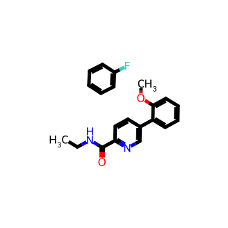 CCNC(=O)c1ccc(-c2ccccc2OC)cn1.Fc1ccccc1